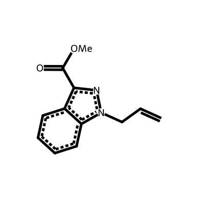 C=CCn1nc(C(=O)OC)c2ccccc21